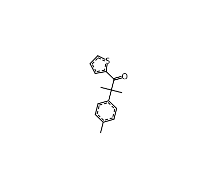 Cc1ccc(C(C)(C)C(=O)c2cccs2)cc1